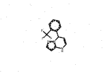 FC(F)(F)c1ccccc1C1C=CNc2ccnn21